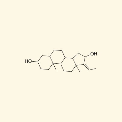 C/C=C1\C(O)CC2C3CCC4CC(O)CCC4(C)C3CCC12C